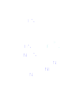 CNc1ccc(CNc2ncc(C#N)c(-c3c[nH]c4ncc(C(F)(F)F)cc34)n2)cc1